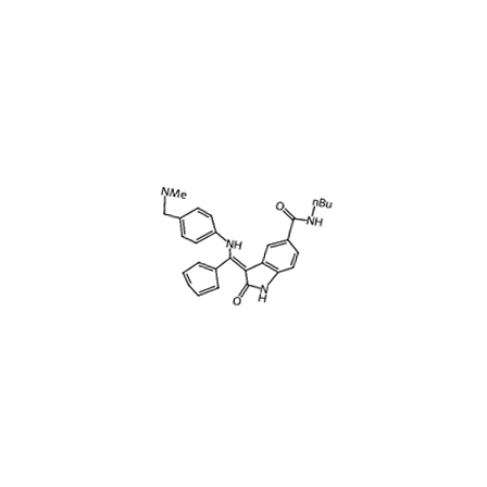 CCCCNC(=O)c1ccc2c(c1)C(=C(Nc1ccc(CNC)cc1)c1ccccc1)C(=O)N2